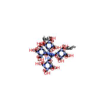 O=C(O)CN1CCN(CC(=O)O)CCN(CC(=O)NCC(CNC(=O)CN2CCN(CC(=O)O)CCN(CC(=O)O)CCN(CC(=O)O)CC2)(CNC(=O)CN2CCN(CC(=O)O)CCN(CC(=O)O)CCN(CC(=O)O)CC2)CNC(=O)CN2CCN(CC(=O)O)CCN(CC(=O)O)CCN(CC(=O)O)CC2)CCN(CC(=O)O)CC1.[Gd+3].[Gd+3].[Gd+3].[Gd+3]